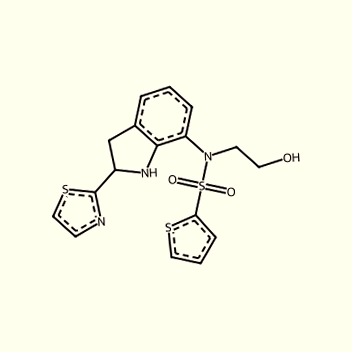 O=S(=O)(c1cccs1)N(CCO)c1cccc2c1NC(c1nccs1)C2